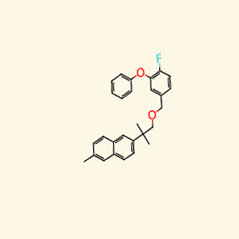 Cc1ccc2cc(C(C)(C)COCc3ccc(F)c(Oc4ccccc4)c3)ccc2c1